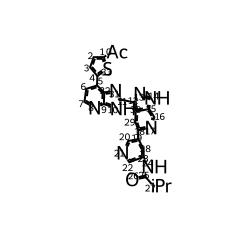 CC(=O)c1ccc(-c2ccnc3[nH]c(-c4n[nH]c5cnc(-c6cncc(NC(=O)C(C)C)c6)cc45)nc23)s1